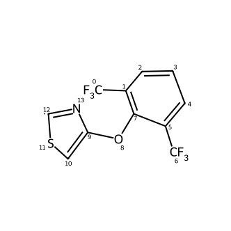 FC(F)(F)c1cccc(C(F)(F)F)c1Oc1cs[c]n1